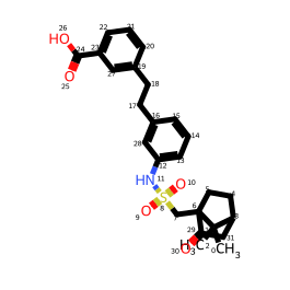 CC1(C)C2CCC1(CS(=O)(=O)Nc1cccc(CCc3cccc(C(=O)O)c3)c1)C(=O)C2